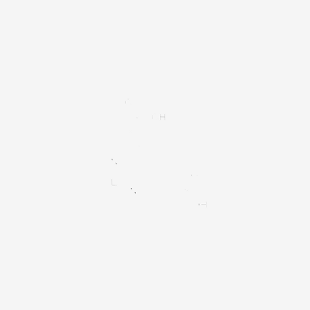 O=C(O)c1ccnc(-c2cc(C(=O)O)ccn2)c1.[Li]